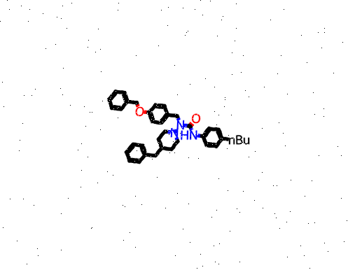 CCCCc1ccc(NC(=O)N(Cc2ccc(OCc3ccccc3)cc2)N2CCC(Cc3ccccc3)CC2)cc1